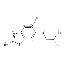 C[C@@H](O)COc1cc2sc(Br)nc2cc1F